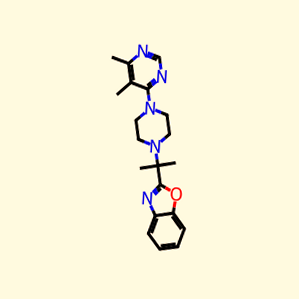 Cc1ncnc(N2CCN(C(C)(C)c3nc4ccccc4o3)CC2)c1C